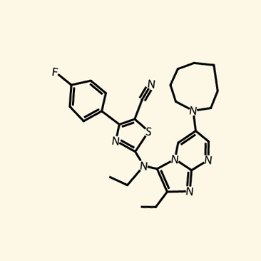 CCc1nc2ncc(N3CCCCCCC3)cn2c1N(CC)c1nc(-c2ccc(F)cc2)c(C#N)s1